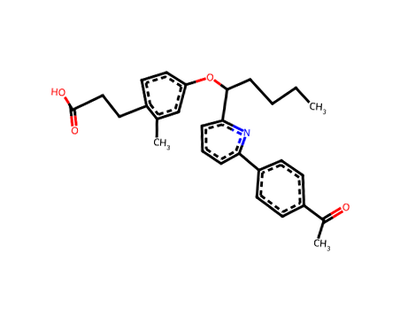 CCCCC(Oc1ccc(CCC(=O)O)c(C)c1)c1cccc(-c2ccc(C(C)=O)cc2)n1